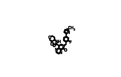 Cn1ccc(-c2ccc(Cn3cc(C(=O)N[C@H]4CCOC[C@@H]4O)c4nccnc4c3=O)c(F)c2)n1